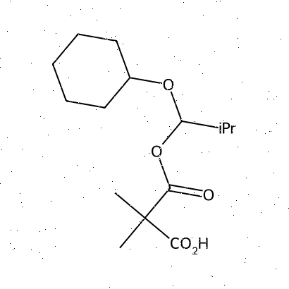 CC(C)C(OC(=O)C(C)(C)C(=O)O)OC1CCCCC1